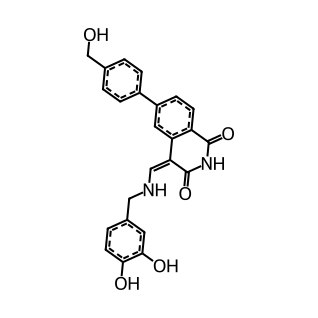 O=C1NC(=O)c2ccc(-c3ccc(CO)cc3)cc2C1=CNCc1ccc(O)c(O)c1